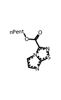 CCCCCOC(=O)c1nsc2nccn12